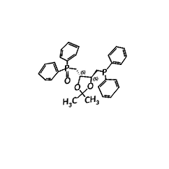 CC1(C)O[C@H](CP(c2ccccc2)c2ccccc2)[C@@H](CP(=O)(c2ccccc2)c2ccccc2)O1